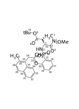 CON(C)C(=O)[C@H](CC(=O)OC(C)(C)C)NS(=O)(=O)c1ccccc1OC(C)Cc1c(C)ccc2ccccc12